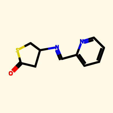 O=C1CC(N=Cc2ccccn2)CS1